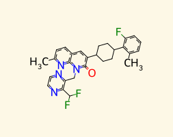 Cc1ccc2cc(C3CCC(c4c(C)cccc4F)CC3)c(=O)n(Cc3nccnc3C(F)F)c2n1